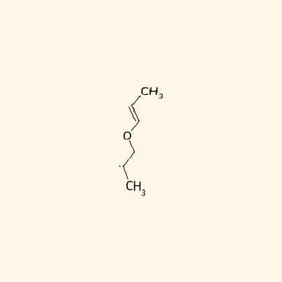 C[CH]COC=CC